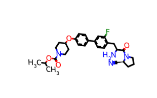 CC(C)OC(=O)N1CCC(Oc2ccc(-c3ccc(CC(N)C(=O)N4CCC[C@H]4C#N)c(F)c3)cc2)CC1